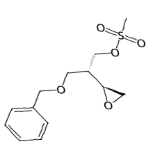 CS(=O)(=O)OC[C@@H](COCc1ccccc1)[C@H]1CO1